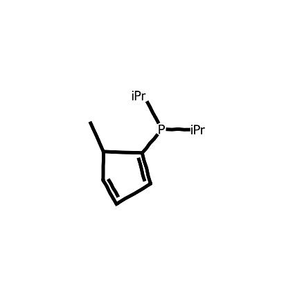 CC1C=CC=C1P(C(C)C)C(C)C